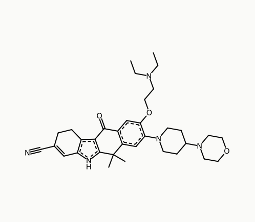 CCN(CC)CCOc1cc2c(cc1N1CCC(N3CCOCC3)CC1)C(C)(C)c1[nH]c3c(c1C2=O)CCC(C#N)=C3